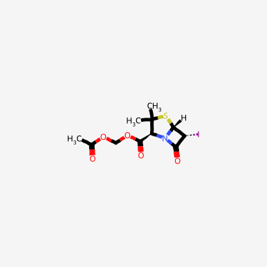 CC(=O)OCOC(=O)[C@@H]1N2C(=O)[C@@H](I)[C@H]2SC1(C)C